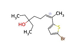 CCC(O)(CC)CC/C=C(/C)c1ccc(Br)s1